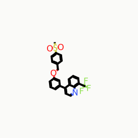 CS(=O)(=O)c1ccc(COc2cccc(-c3ccnc4c(C(F)(F)F)cccc34)c2)cc1